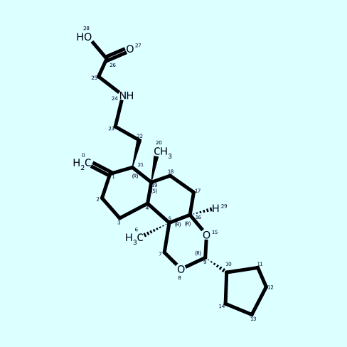 C=C1CCC2[C@]3(C)CO[C@@H](C4CCCC4)O[C@@H]3CC[C@@]2(C)[C@@H]1CCNCC(=O)O